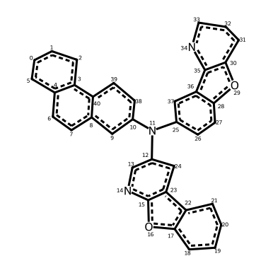 c1ccc2c(c1)ccc1cc(N(c3cnc4oc5ccccc5c4c3)c3ccc4oc5cccnc5c4c3)ccc12